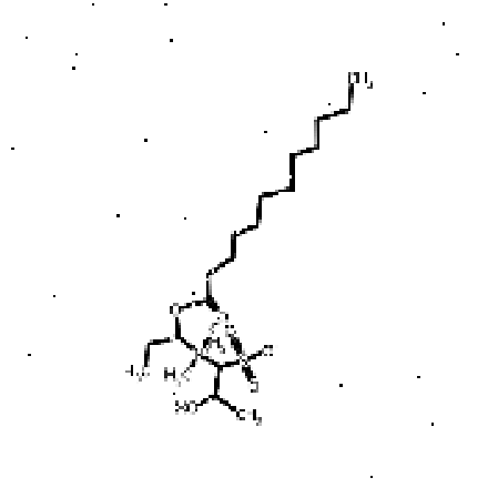 CCCCCCCCCCCC(=O)OC(CC)[N+](C)(C)C(C(C)O)S(=O)(=O)[O-]